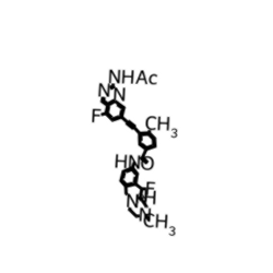 CC(=O)Nc1ncc2c(F)cc(C#Cc3cc(C(=O)Nc4ccc5c(c4)C(F)[C@H]4CN(C)CCN4C5)ccc3C)cc2n1